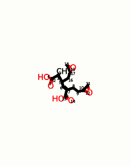 C=C(C(=O)O)C(C=C(CCC1CO1)C(=O)O)CC1CO1